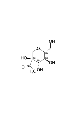 CC(=O)[C@]1(O)[CH]O[C@H](CO)[C@@H](O)[C@@H]1O